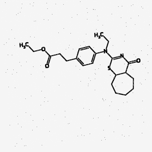 CCOC(=O)CCc1ccc(N(CC)C2=NC(=O)C3CCCCCC3S2)cc1